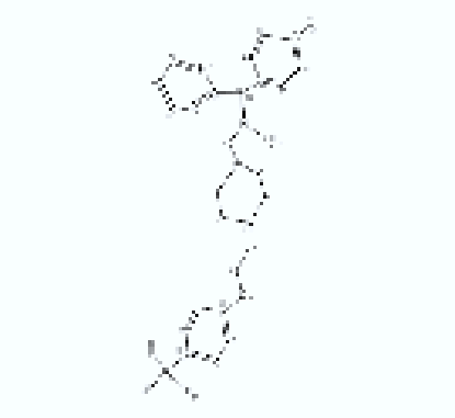 CN(CC1CCN(CCOc2ccc(C(F)(F)F)cc2)CC1)[C@H](c1ccc(Cl)cc1)c1ccccn1